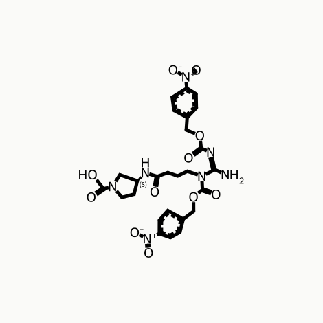 NC(=NC(=O)OCc1ccc([N+](=O)[O-])cc1)N(CCCC(=O)N[C@H]1CCN(C(=O)O)C1)C(=O)OCc1ccc([N+](=O)[O-])cc1